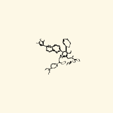 CCc1c(C2CCCCC2)c(-c2ccc3nc(-c4cc(C)sc4C)ccc3c2)n(CC(=O)N2CCC(N(CC)CC)CC2)c1/C=C(\C)C(=O)O